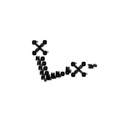 O.O.O.O.O.O.O.O.O.O=S(=O)([O-])[O-].O=S(=O)([O-])[O-].[Th+4]